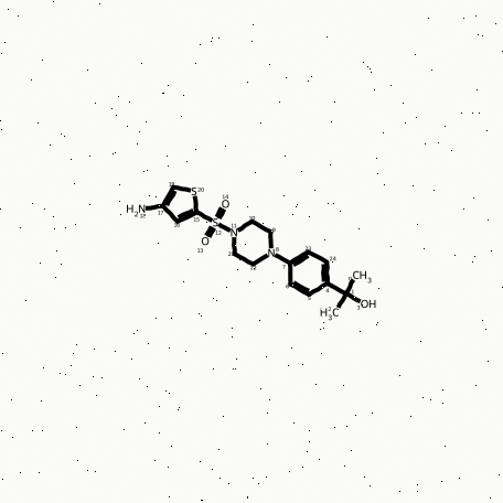 CC(C)(O)c1ccc(N2CCN(S(=O)(=O)c3cc(N)cs3)CC2)cc1